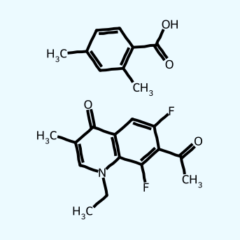 CCn1cc(C)c(=O)c2cc(F)c(C(C)=O)c(F)c21.Cc1ccc(C(=O)O)c(C)c1